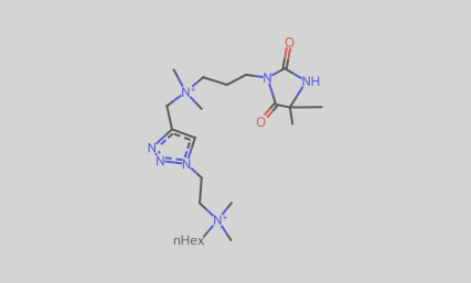 CCCCCC[N+](C)(C)CCn1cc(C[N+](C)(C)CCCN2C(=O)NC(C)(C)C2=O)nn1